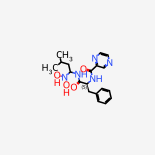 CC(C)CC(NC(=O)[C@H](Cc1ccccc1)NC(=O)c1cnccn1)N(O)O